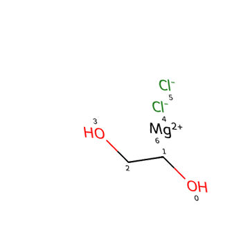 OCCO.[Cl-].[Cl-].[Mg+2]